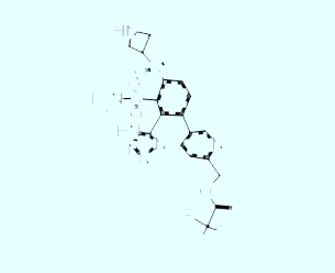 NS(=O)(=O)c1c(S(=O)(=O)C2CNC2)ccc(-c2ccc(COC(=O)C(F)(F)F)nc2)c1-c1nnn[nH]1